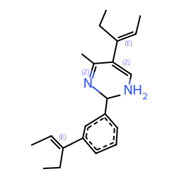 C/C=C(CC)/C(=C/N)C(/C)=N\C(C)c1cccc(/C(=C/C)CC)c1